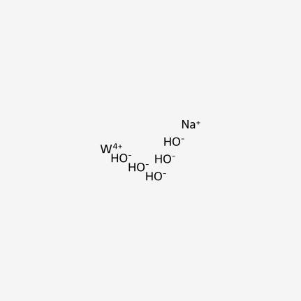 [Na+].[OH-].[OH-].[OH-].[OH-].[OH-].[W+4]